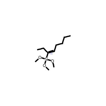 CCCC/C=C(\CC)[Si](OC)(OC)OC